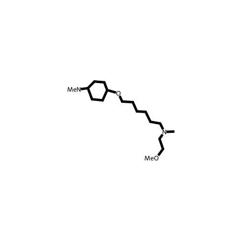 CNC1CCC(OCCCCCCN(C)CCOC)CC1